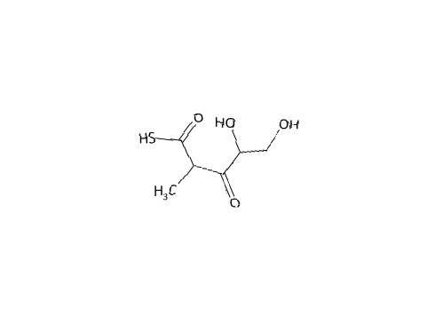 CC(C(=O)S)C(=O)C(O)CO